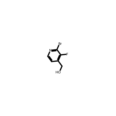 OCc1ccnc(Br)c1F